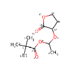 CCC(C)(C)C(=O)OC(C)OC1CCOC1=O